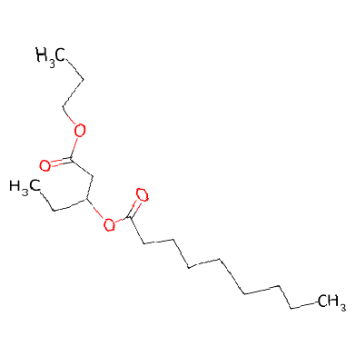 CCCCCCCCC(=O)OC(CC)CC(=O)OCCC